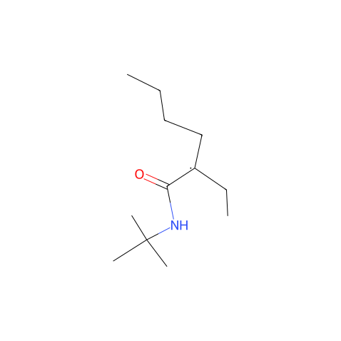 CCCC[C](CC)C(=O)NC(C)(C)C